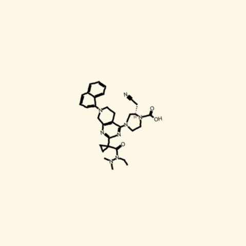 CCN(C(=O)C1(c2nc3c(c(N4CCN(C(=O)O)[C@@H](CC#N)C4)n2)CCN(c2cccc4ccccc24)C3)CC1)N(C)C